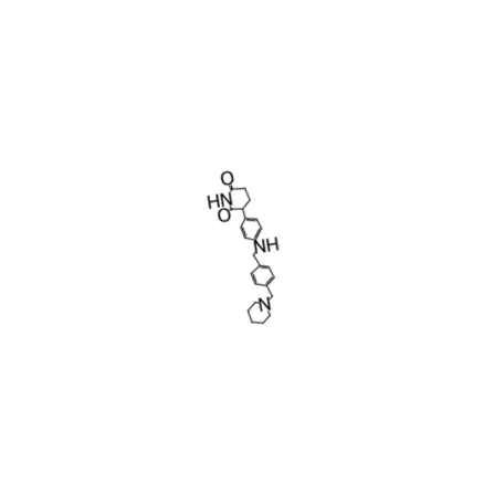 O=C1CCC(c2ccc(NCc3ccc(CN4CCCCC4)cc3)cc2)C(=O)N1